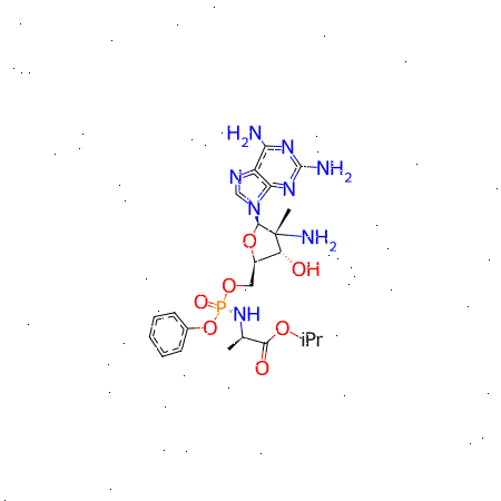 CC(C)OC(=O)[C@@H](C)N[P@](=O)(OC[C@H]1O[C@@H](n2cnc3c(N)nc(N)nc32)[C@](C)(N)[C@@H]1O)Oc1ccccc1